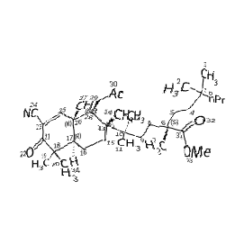 CCCC(C)(C)CC[C@@](C)(CCC(C)(C)[C@]1(C)CC[C@H]2C(C)(C)C(=O)C(C#N)=C[C@]2(C)[C@H]1CC(C)=O)C(=O)OC